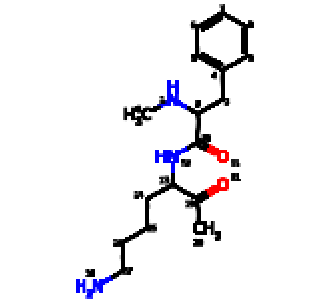 CNC(Cc1ccccc1)C(=O)NC(CCCCN)C(C)=O